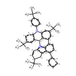 CC(C)(C)c1ccc(N2c3ccc(C(C)(C)C)cc3B3c4c(cc(C(C)(C)C)cc42)-c2ccc(-c4ccccc4)c4c5c(n3c24)C=CC(C(C)(C)C)C5)cc1